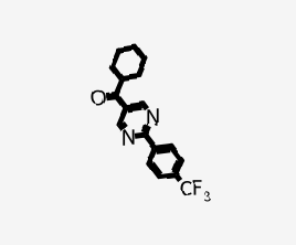 O=C(c1cnc(-c2ccc(C(F)(F)F)cc2)nc1)C1CCCCC1